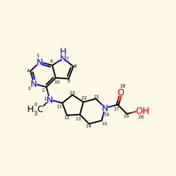 CN(c1ncnc2[nH]ccc12)C1CC2CCN(C(=O)CO)CC2C1